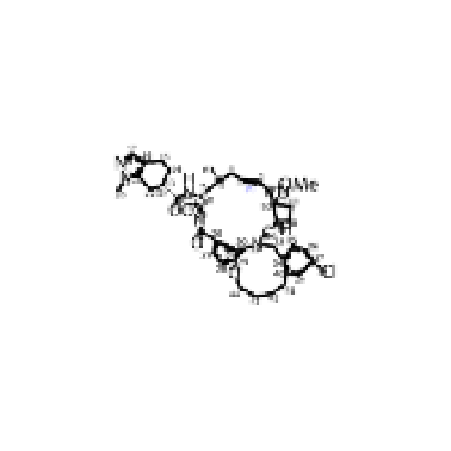 CO[C@H]1/C=C/C[C@H](C)CS(=O)(NC(=O)[C@H]2CCc3cnn(C)c3C2)=NC(=O)c2ccc3c(c2)N(Cc2ccc(Cl)cc2CCCCO3)C[C@@H]2CC[C@H]21